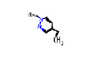 C=CC1=C=NN(C(C)(C)C)C=C1